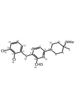 CNC1(C)CCN(c2cnc(Sc3cccc(Cl)c3Cl)c(C=O)n2)CC1